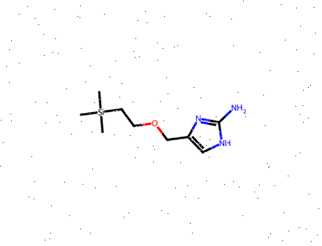 C[Si](C)(C)CCOCc1c[nH]c(N)n1